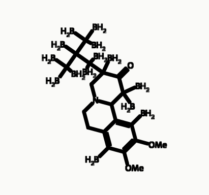 Bc1c2c(c(B)c(OC)c1OC)C1N(CC2)CC(B)(C(B)(B)C(B)(C(B)(B)B)C(B)(B)B)C(=O)C1(B)B